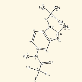 CN(C(=O)C(F)(F)F)c1ccc2c(c1)nc(N)n2CC(C)(C)O